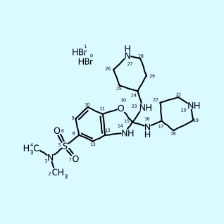 Br.Br.CN(C)S(=O)(=O)c1ccc2c(c1)NC(NC1CCNCC1)(NC1CCNCC1)O2